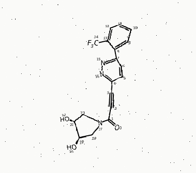 O=C(C#Cc1ccc(-c2ccccc2C(F)(F)F)nn1)N1C[C@@H](O)[C@@H](O)C1